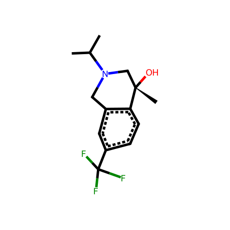 CC(C)N1Cc2cc(C(F)(F)F)ccc2[C@@](C)(O)C1